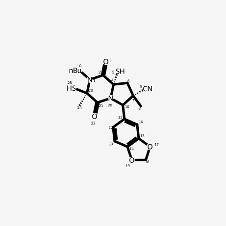 CCCCN1C(=O)[C@@]2(S)C[C@](C)(C#N)C(c3ccc4c(c3)OCO4)N2C(=O)[C@@]1(C)S